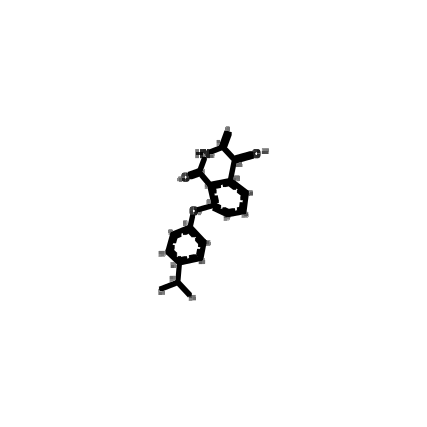 C=C1NC(=O)c2c(Oc3ccc(C(C)C)cc3)cccc2C1=O